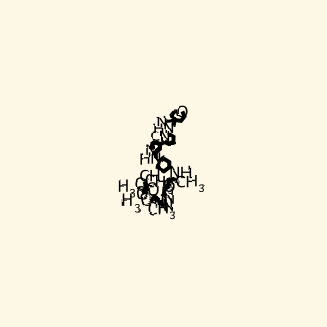 CC(C)[C@@H](OC(=O)C(C)(C)C)n1nnnc1COC[C@@H](C)N[C@H]1CC[C@H](Nc2cc(-c3cccc(NCC4(C#N)CCOCC4)n3)c(Cl)cn2)CC1